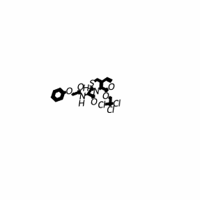 C=CC1=C(C(=O)OCC(Cl)(Cl)Cl)N2C(=O)[C@@H](NC(=O)COc3ccccc3)[C@H]2SC1